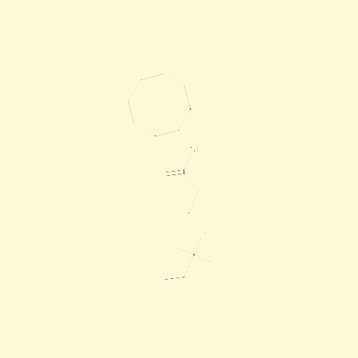 CC(C)(CO)OCCC(=O)NC1CCCCCCC1